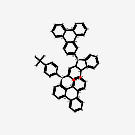 CC(C)(C)c1ccc(N(C2=CC3C(C=C2)c2ccccc2N3c2ccc3c4ccccc4c4ccccc4c3c2)c2cccc3c4ccccc4c4ccccc4c23)cc1